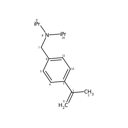 C=C(C)c1ccc(CN(C(C)C)C(C)C)cc1